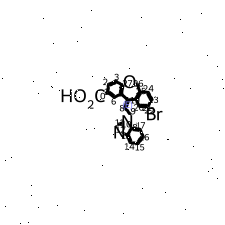 O=C(O)c1ccc2c(c1)/C(=C/Cn1cnc3ccccc31)c1cc(Br)ccc1CO2